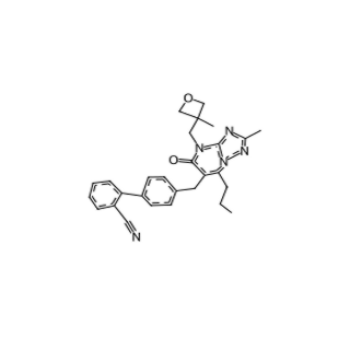 CCCc1c(Cc2ccc(-c3ccccc3C#N)cc2)c(=O)n(CC2(C)COC2)c2nc(C)nn12